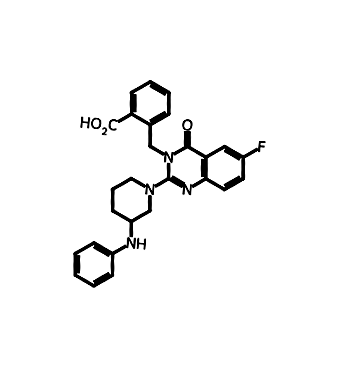 O=C(O)c1ccccc1Cn1c(N2CCCC(Nc3ccccc3)C2)nc2ccc(F)cc2c1=O